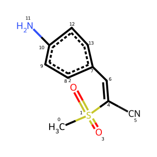 CS(=O)(=O)C(C#N)=Cc1ccc(N)cc1